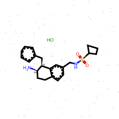 Cl.N[C@@H]1CCc2ccc(CNS(=O)(=O)C3CCC3)cc2[C@@H]1Cc1ccccc1